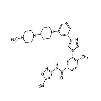 Cc1ccc(C(=O)Nc2cc(C(C)(C)C)on2)cc1-n1cc(-c2cncc(N3CCC(N4CCN(C)CC4)CC3)c2)nn1